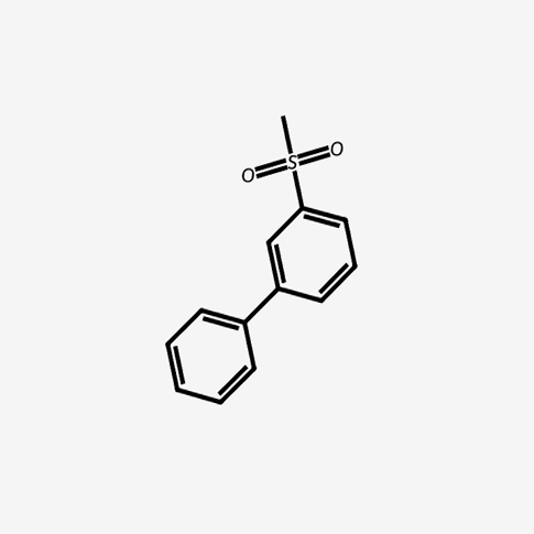 CS(=O)(=O)c1cccc(-c2ccccc2)c1